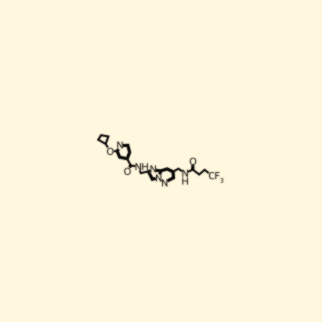 O=C(CCC(F)(F)F)NCc1cnn2cc(CNC(=O)c3ccnc(OC4CCC4)c3)nc2c1